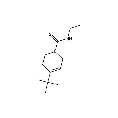 CCNC(=S)N1CC=C(C(C)(C)C)CC1